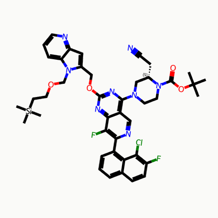 CC(C)(C)OC(=O)N1CCN(c2nc(OCc3cc4ncccc4n3COCC[Si](C)(C)C)nc3c(F)c(-c4cccc5ccc(F)c(Cl)c45)ncc23)C[C@@H]1CC#N